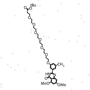 COc1cc(OC)c2c(=O)[nH]c(-c3cc(C)cc(OCCOCCOCCOCCOCCOCCOCCC(=O)OC(C)(C)C)c3)nc2c1